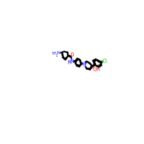 NC1CCC(C(=O)Nc2ccc(N3CCC(O)(c4ccc(Cl)cc4)CC3)cc2)CC1